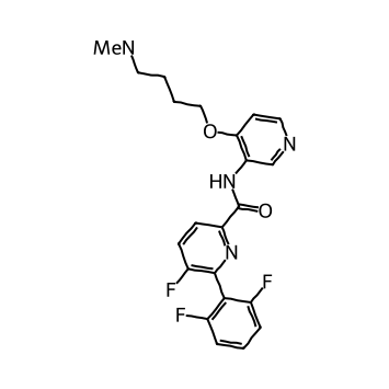 CNCCCCOc1ccncc1NC(=O)c1ccc(F)c(-c2c(F)cccc2F)n1